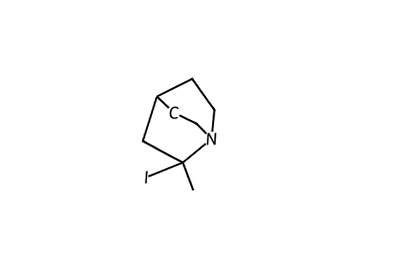 CC1(I)CC2CCN1CC2